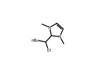 CCCCC(CC)C1N(C)C=CN1C